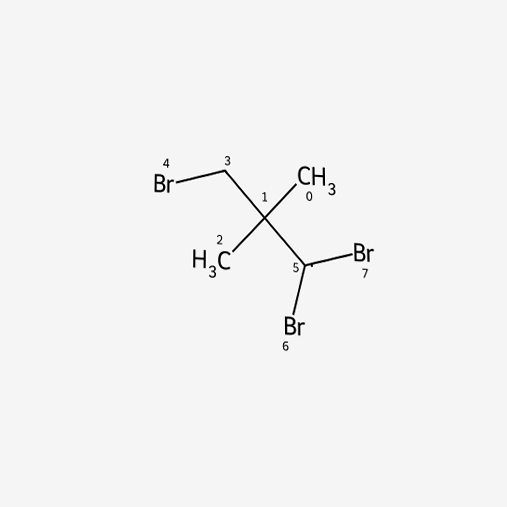 CC(C)(CBr)[C](Br)Br